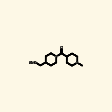 COCC1CCN(C(=O)C2CCN(C)CC2)CC1